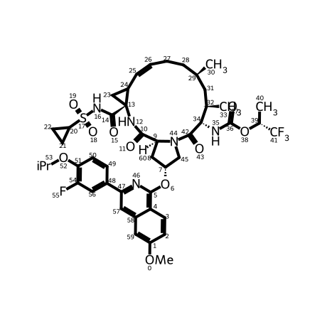 COc1ccc2c(O[C@@H]3C[C@H]4C(=O)N[C@]5(C(=O)NS(=O)(=O)C6CC6)CC5/C=C\CC[C@@H](C)C[C@@H](C)[C@H](NC(=O)O[C@H](C)C(F)(F)F)C(=O)N4C3)nc(-c3ccc(OC(C)C)c(F)c3)cc2c1